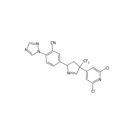 N#Cc1cc(C2CC(c3cc(Cl)nc(Cl)c3)(C(F)(F)F)C=N2)ccc1-n1cncn1